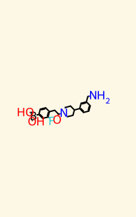 NCc1cccc(C2CCN(C(=O)Cc3ccc(B(O)O)cc3F)CC2)c1